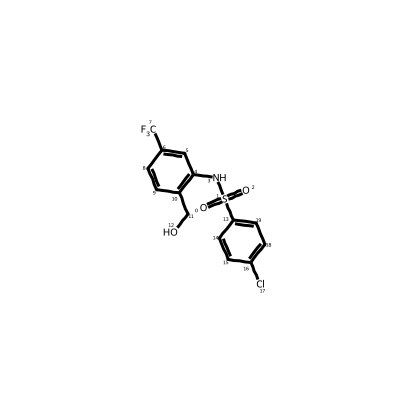 O=S(=O)(Nc1cc(C(F)(F)F)ccc1CO)c1ccc(Cl)cc1